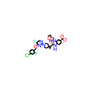 COC(=O)c1ccc(NC(=O)C2CC23CCN(c2ncc(F)c(OCc4ccc(Cl)cc4F)n2)CC3)c(NC[C@@H]2CCO2)c1